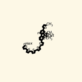 CCCCCCCC[Si](C)(C)C1([Si](C)(C)CCCCCCCC)c2cc(-c3ccc(C)s3)ccc2-c2ccc(-c3ccc(-c4ccc(-c5ccc(-c6ccc(-c7ccc(CCCCCC)s7)s6)s5)s4)s3)cc21